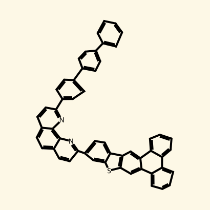 c1ccc(-c2ccc(-c3ccc(-c4ccc5ccc6ccc(-c7ccc8c(c7)sc7cc9c%10ccccc%10c%10ccccc%10c9cc78)nc6c5n4)cc3)cc2)cc1